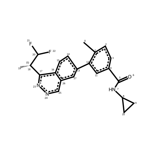 Cc1ccc(C(=O)NC2CC2)cc1-c1ccc2c([C@H](C)C(F)F)nncc2c1